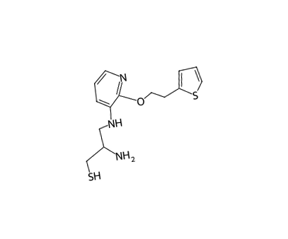 NC(CS)CNc1cccnc1OCCc1cccs1